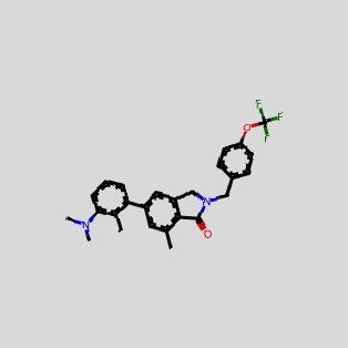 Cc1cc(-c2cccc(N(C)C)c2C)cc2c1C(=O)N(Cc1ccc(OC(F)(F)F)cc1)C2